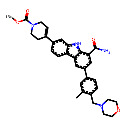 Cc1cc(-c2cc(C(N)=O)c3[nH]c4cc(C5=CCN(C(=O)OC(C)(C)C)CC5)ccc4c3c2)ccc1CN1CCOCC1